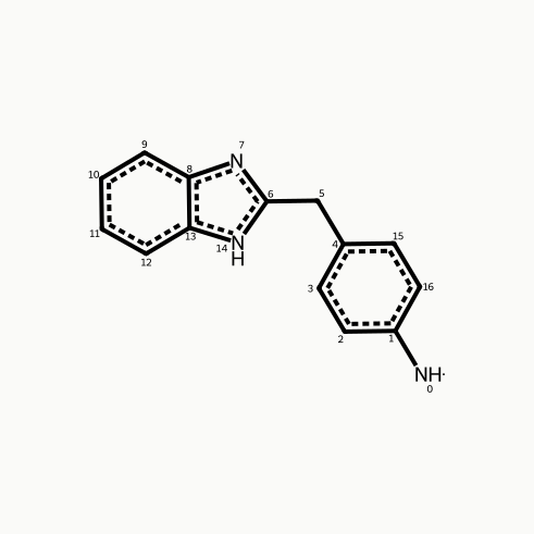 [NH]c1ccc(Cc2nc3ccccc3[nH]2)cc1